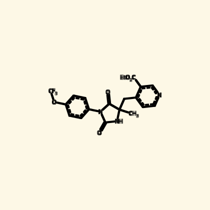 CCOC(=O)c1cnccc1CC1(C)NC(=O)N(c2ccc(OC(F)(F)F)cc2)C1=O